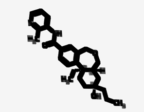 CCC[C@@]1(O)CC[C@@]2(CC)c3ccc(C(=O)Nc4cccnc4C)cc3COC[C@H]2C1